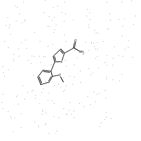 COc1ccccc1-c1ccc(C(N)=O)s1